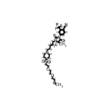 COCCOCCOCCS(=O)(=O)N1CCN(CCCCCN2C(=S)N(c3ccc(C#N)c(C(F)(F)F)c3)C(=O)C2(C)C)CC1